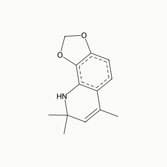 CC1=CC(C)(C)Nc2c1ccc1c2OCO1